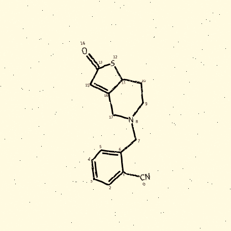 N#Cc1ccccc1CN1CCC2SC(=O)C=C2C1